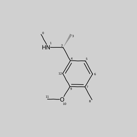 CN[C@H](C)c1ccc(C)c(OC)c1